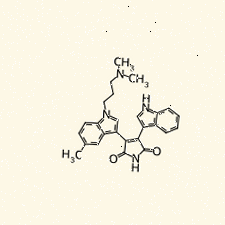 Cc1ccc2c(c1)c(C1=C(c3c[nH]c4ccccc34)C(=O)NC1=O)cn2CCCN(C)C